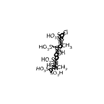 Cc1cc(N=Nc2ccc3c(S(=O)(=O)O)c(N=Nc4c(C)nn(-c5cc(S(=O)(=O)O)cc(S(=O)(=O)O)c5)c4O)ccc3c2O)c(OCCCS(=O)(=O)O)cc1N=Nc1nc2c(S(=O)(=O)O)cc(Cl)cc2s1